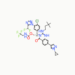 CC(C)(C)CCNC(=N)N(C(=O)c1ccc(-c2cnn(C3CC3)c2)cc1)[C@H](COC(=O)NCC(F)(F)F)c1ccc(Cl)c(-n2ncnc2C(F)F)c1